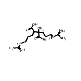 N=C(N)NCCCC(C(=O)O)C(N)(CCCNC(=N)N)C(=O)O